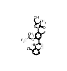 C[C@H](Oc1cc(-n2nc(CO)n(C)c2=O)c(F)cc1C(=O)Nc1c(Cl)cccc1Cl)C(F)(F)F